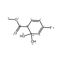 COC(=O)C1C=CC(F)=CC1(O)O